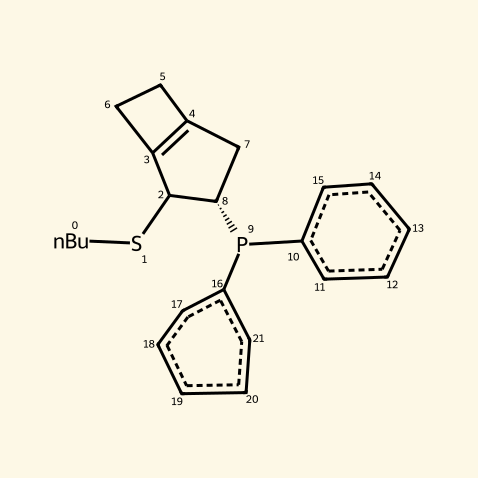 CCCCSC1C2=C(CC2)C[C@@H]1P(c1ccccc1)c1ccccc1